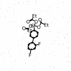 CCC(=O)O[Si](OC(=O)CC)(OC(=O)CC)c1ccc(-c2ccc(F)cc2F)cc1